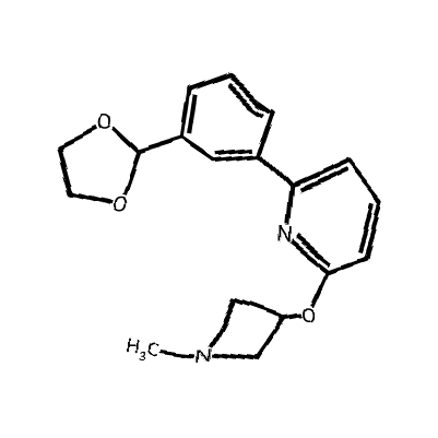 CN1CC(Oc2cccc(-c3cccc(C4OCCO4)c3)n2)C1